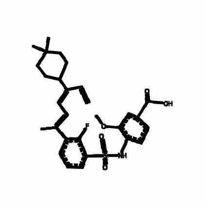 C=C/C(=C\C=C(/C)c1cccc(S(=O)(=O)Nc2ccc(C(=O)O)cc2OC)c1F)C1CCC(C)(C)CC1